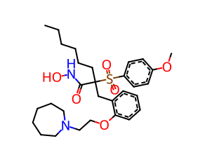 CCCCCCC(Cc1ccccc1OCCN1CCCCCC1)(C(=O)NO)S(=O)(=O)c1ccc(OC)cc1